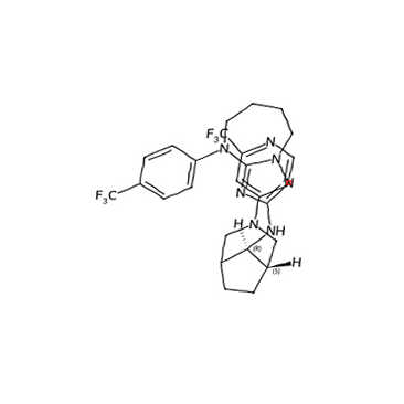 FC(F)(F)c1ccc(N2CCCCn3nc(N[C@@H]4C5CC[C@H]4CN(c4ccnc(C(F)(F)F)c4)C5)nc32)cc1